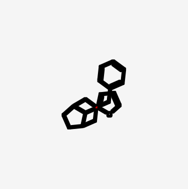 c1ccc(CN2CC3CCC(C2)C3c2ccco2)cc1